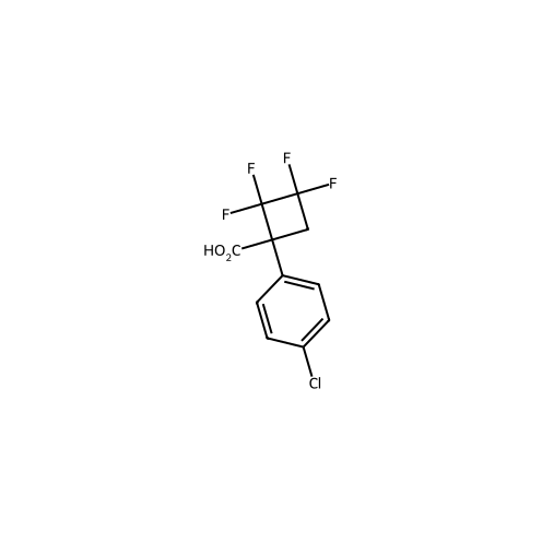 O=C(O)C1(c2ccc(Cl)cc2)CC(F)(F)C1(F)F